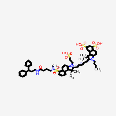 CCCCN1/C(=C/C=C/C=C/C2=[N+](CCCS(=O)(=O)O)c3ccc4c(S(=O)(=O)N(C)CCCC(=O)NCCC(c5ccccc5)c5ccccc5)cccc4c3C2(C)C)C(C)(C)c2c1ccc1c(S(=O)(=O)O)cc(S(=O)(=O)O)cc21